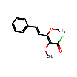 COC(C=Cc1ccccc1)=C(OC)C(=O)Cl